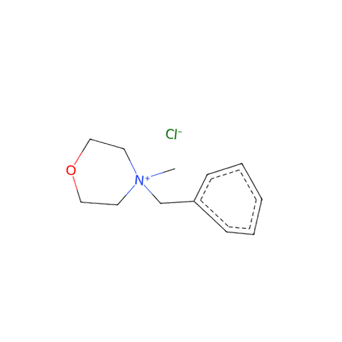 C[N+]1(Cc2ccccc2)CCOCC1.[Cl-]